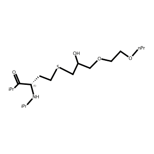 CCCOCCOCC(O)CSCC[C@H](NC(C)C)C(=O)C(C)C